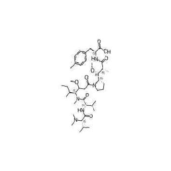 CCC(C)[C@@H](C(CC(=O)N1CCC[C@H]1[C@H](OC)[C@@H](C)C(=O)N[C@@H](Cc1ccc(C)cc1)C(=O)O)OC)N(C)C(=O)[C@@H](NC(=O)[C@H](C(C)C)N(C)C)C(C)C